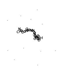 N#Cc1ccc(O[C@H]2CC[C@H](N3Cc4cc(N5CCN(CC6CCN(c7ccc8c(c7)C(=O)N(C7CCC(=O)NC7=O)C8=O)CC6)CC5)ccc4C3=O)CC2)cc1Cl